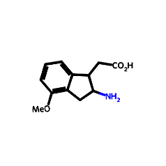 COc1cccc2c1CC(N)C2CC(=O)O